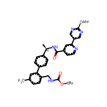 COc1ncc(-c2cc(C(=O)N[C@H](C)c3ccc(-c4cc(C(F)(F)F)ccc4CNC(=O)OC(C)(C)C)cc3)ccn2)cn1